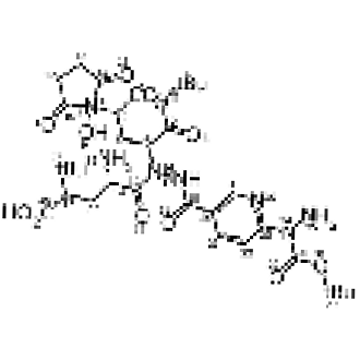 CC(C)(C)OC(=O)[C@H](CC(C(=O)O)[N+]1(O)C(=O)CCC1=O)N(NC(=O)c1ccc(N(N)C(=O)OC(C)(C)C)nc1)C(=O)[C@@H](N)CC(C(=O)O)C(C)(C)C